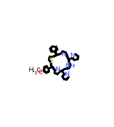 COc1ccc(-c2c3nc(c(-c4ccccn4)c4ccc([nH]4)c(-c4ccccn4)c4nc(c(-c5ccccc5)c5ccc2s5)C=C4)C=C3)cc1